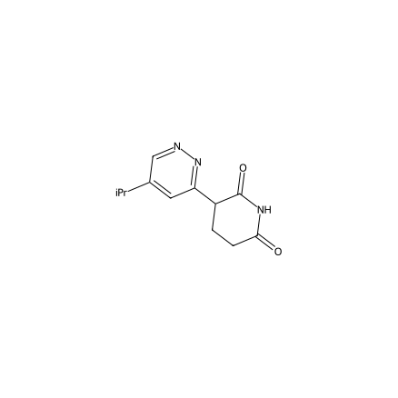 CC(C)c1cnnc(C2CCC(=O)NC2=O)c1